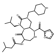 CC(C)CC(=O)NC1CNN(C(=O)c2ccco2)C2CN(CC3CCNCC3)C(=O)[C@H](CC(C)C)N2C1=O